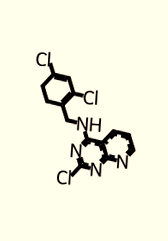 ClC1=CC(Cl)=C(CNc2nc(Cl)nc3ncccc23)CC1